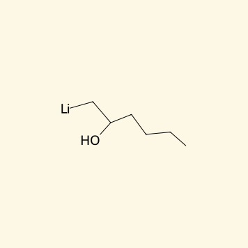 [Li][CH2]C(O)CCCC